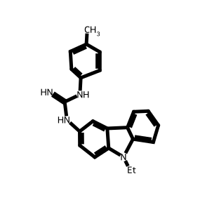 CCn1c2ccccc2c2cc(NC(=N)Nc3ccc(C)cc3)ccc21